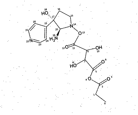 CCC(=O)OC(=O)C(O)C(O)C(=O)ON1CC[C@](O)(c2ccncc2)[C@@H]1N